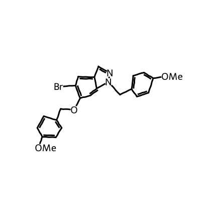 COc1ccc(COc2cc3c(cnn3Cc3ccc(OC)cc3)cc2Br)cc1